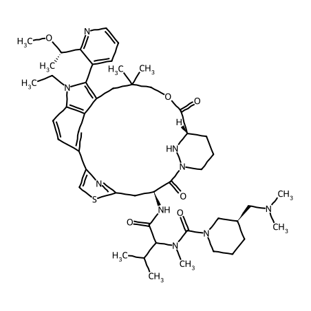 CCn1c(-c2cccnc2[C@H](C)OC)c2c3cc(ccc31)-c1csc(n1)C[C@H](NC(=O)C(C(C)C)N(C)C(=O)N1CCC[C@H](CN(C)C)C1)C(=O)N1CCC[C@H](N1)C(=O)OCC(C)(C)C2